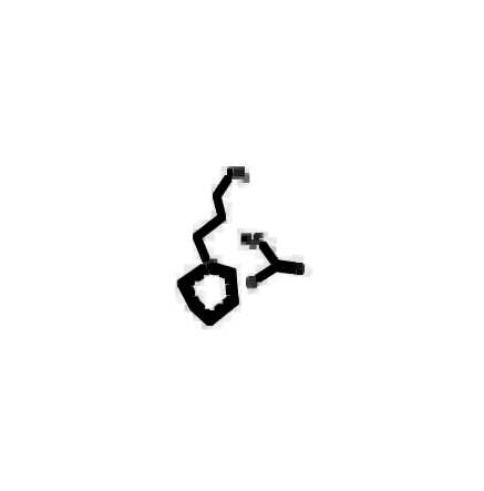 CC(=O)[O-].CCCC[n+]1ccccc1